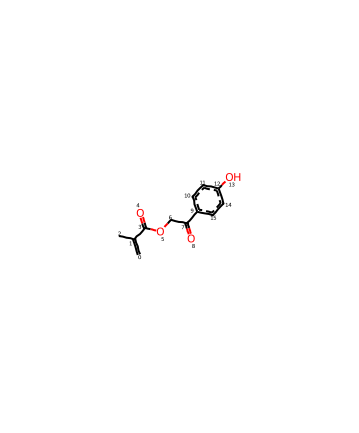 C=C(C)C(=O)OCC(=O)c1ccc(O)cc1